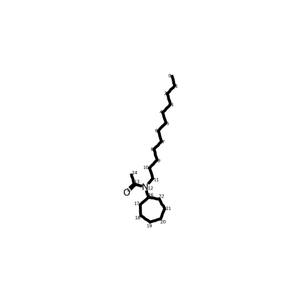 CCCCCCCCCCCCN(C(C)=O)C1CCCCCC1